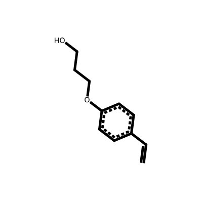 C=Cc1ccc(OCCCO)cc1